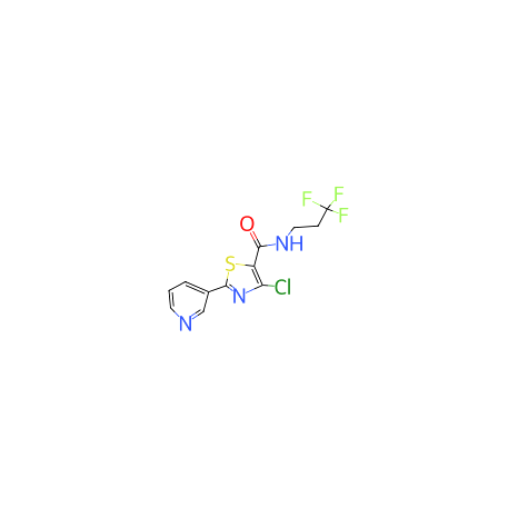 O=C(NCCC(F)(F)F)c1sc(-c2cccnc2)nc1Cl